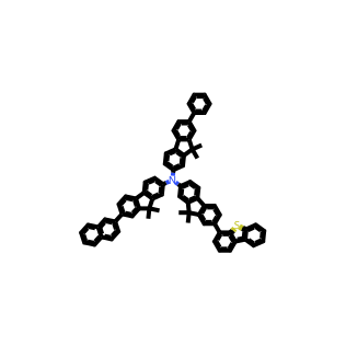 CC1(C)c2cc(-c3ccccc3)ccc2-c2ccc(N(c3ccc4c(c3)C(C)(C)c3cc(-c5ccc6ccccc6c5)ccc3-4)c3ccc4c(c3)C(C)(C)c3cc(-c5cccc6c5sc5ccccc56)ccc3-4)cc21